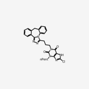 CCCCCn1c(=O)n(CCCc2nnc3n2-c2ccccc2Cc2ccccc2-3)c(=O)c2[nH]c(Cl)nc21